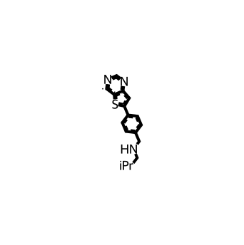 CC(C)CNCc1ccc(-c2cc3ncn[c]c3s2)cc1